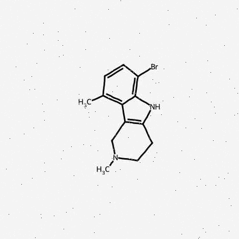 Cc1ccc(Br)c2[nH]c3c(c12)CN(C)CC3